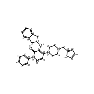 O=c1c(OC2Cc3ccccc3C2)c(N2CCN(Cc3cccs3)CC2)cnn1-c1ccccc1